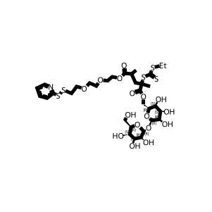 CCSC(=S)SC(C)(CC(C)C(=O)OCCOCCOCCSSc1ccccn1)C(=O)OC[C@H]1O[C@H](O[C@H]2O[C@H](CO)[C@@H](O)[C@H](O)[C@H]2O)[C@H](O)[C@@H](O)[C@@H]1O